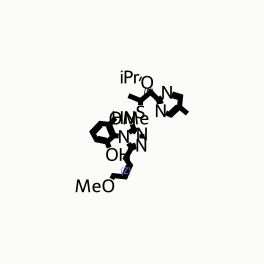 COC/C=C\Cc1nnc(NSC(C)[C@@H](OC(C)C)c2ncc(C)cn2)n1-c1c(O)cccc1OC